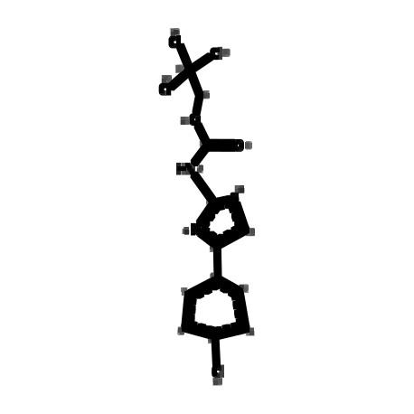 O=C(Nc1nc(-c2ccc(Cl)cc2)cs1)OCC(Cl)(Cl)Cl